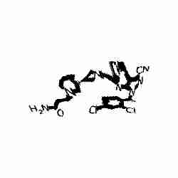 C[C@H](c1ccc(Cl)cc1Cl)n1nc(C#N)c2cnc(N3CC([C@H]4CCCN(CCC(N)=O)C4)C3)nc21